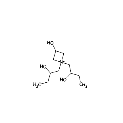 CCC(O)C[N+]1(CC(O)CC)CC(O)C1